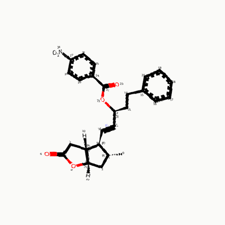 C[C@@H]1C[C@@H]2OC(=O)C[C@@H]2[C@H]1/C=C/[C@H](CCc1ccccc1)OC(=O)c1ccc([N+](=O)[O-])cc1